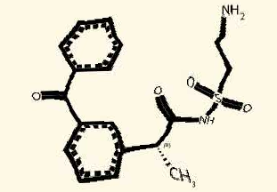 C[C@@H](C(=O)NS(=O)(=O)CCN)c1cccc(C(=O)c2ccccc2)c1